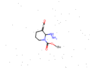 CC(C)(C)OC(=O)N1CCCC(=C=O)C1NN